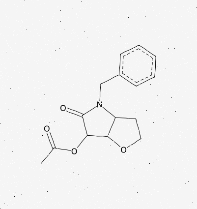 CC(=O)OC1C(=O)N(Cc2ccccc2)C2CCOC12